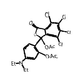 CCN(CC)c1ccc(C2(OC(C)=O)OC(=O)c3c(Cl)c(Cl)c(Cl)c(Cl)c32)c(OC(C)=O)c1